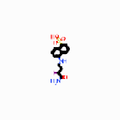 NC(=O)C(I)CCNc1cccc2c(S(=O)(=O)O)cccc12